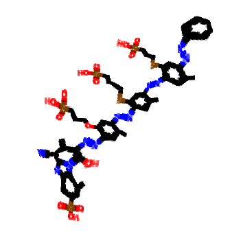 Cc1cc(N=Nc2cc(SCCCS(=O)(=O)O)c(N=Nc3cc(OCCCS(=O)(=O)O)c(N=Nc4c(C)c(C#N)c5nc6cc(S(=O)(=O)O)cc(C)c6n5c4O)cc3C)cc2C)c(SCCCS(=O)(=O)O)cc1N=Nc1ccccc1